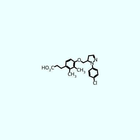 Cc1c(CCC(=O)O)ccc(OCC2CC=NN2c2ccc(Cl)cc2)c1C